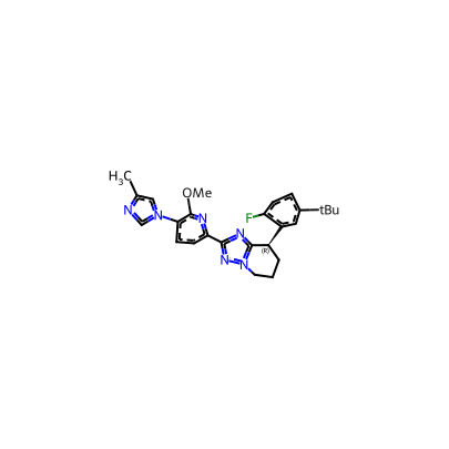 COc1nc(-c2nc3n(n2)CCC[C@@H]3c2cc(C(C)(C)C)ccc2F)ccc1-n1cnc(C)c1